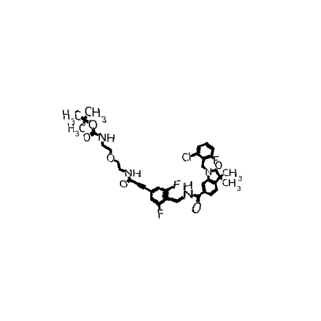 CC(C)(C)OC(=O)NCCOCCNC(=O)C#Cc1cc(F)c(CNC(=O)c2ccc3c(c2)N(Cc2c(F)cccc2Cl)C(=O)C3(C)C)c(F)c1